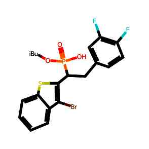 CCC(C)OP(=O)(O)C(Cc1ccc(F)c(F)c1)c1sc2ccccc2c1Br